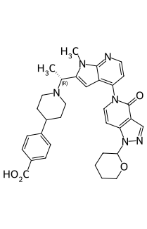 C[C@H](c1cc2c(-n3ccc4c(cnn4C4CCCCO4)c3=O)ccnc2n1C)N1CCC(c2ccc(C(=O)O)cc2)CC1